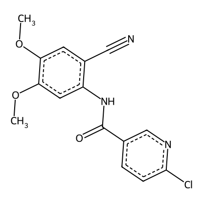 COc1cc(C#N)c(NC(=O)c2ccc(Cl)nc2)cc1OC